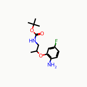 CC(CNC(=O)OC(C)(C)C)Oc1cc(F)ccc1N